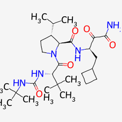 CC(C)[C@H]1CCN(C(=O)[C@@H](NC(=O)NC(C)(C)C)C(C)(C)C)[C@@H]1C(=O)N[C@H](CC1CCC1)C(=O)C(N)=O